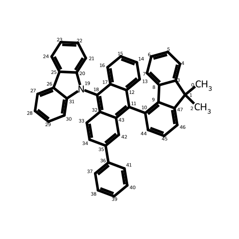 CC1(C)c2ccccc2-c2c(-c3c4ccccc4c(-n4c5ccccc5c5ccccc54)c4ccc(-c5ccccc5)cc34)cccc21